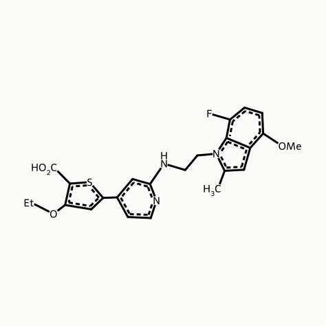 CCOc1cc(-c2ccnc(NCCn3c(C)cc4c(OC)ccc(F)c43)c2)sc1C(=O)O